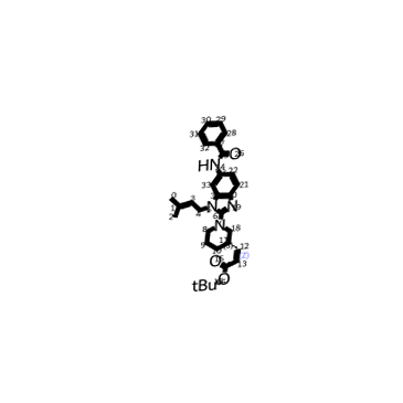 CC(C)=CCn1c(N2CCC[C@@H](/C=C\C(=O)OC(C)(C)C)C2)nc2ccc(NC(=O)c3ccccc3)cc21